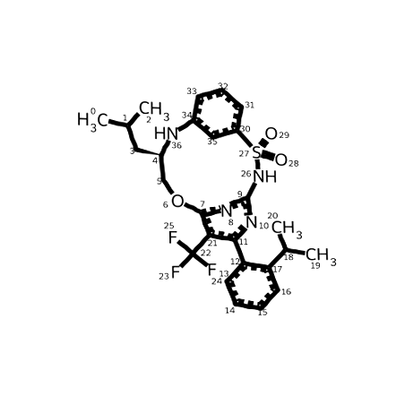 CC(C)C[C@@H]1COc2nc(nc(-c3ccccc3C(C)C)c2C(F)(F)F)NS(=O)(=O)c2cccc(c2)N1